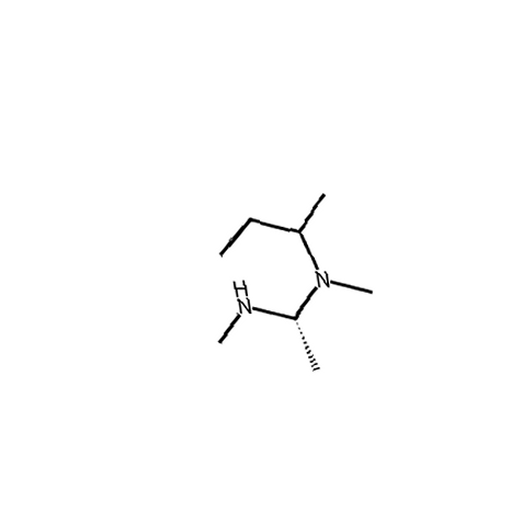 CCC(C)N(C)[C@H](C)NC